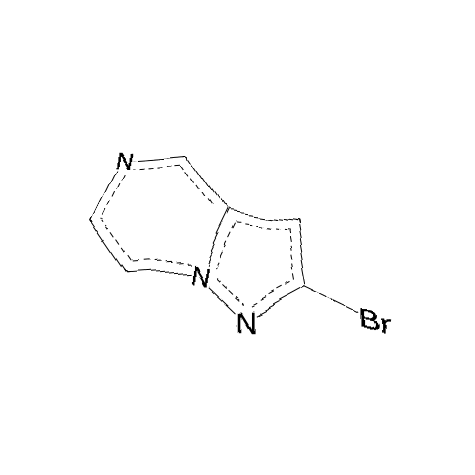 Brc1cc2cnccn2n1